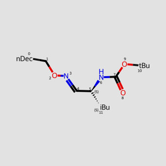 CCCCCCCCCCCON=C[C@@H](NC(=O)OC(C)(C)C)[C@@H](C)CC